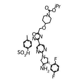 CC(C)OC(=O)N1CCC(OCc2nc(-c3cnc(N4C[C@H](c5cc(F)ccc5F)[C@@H](N)C4)nc3)no2)CC1.Cc1ccc(S(=O)(=O)O)cc1